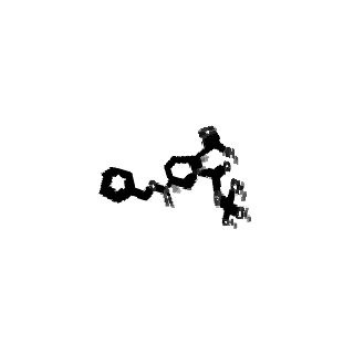 CC(C)(C)OC(=O)N1C[C@H](NOCc2ccccc2)CC[C@H]1C(N)=O